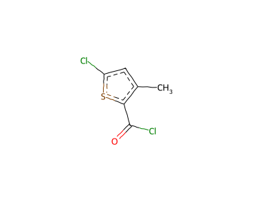 Cc1cc(Cl)sc1C(=O)Cl